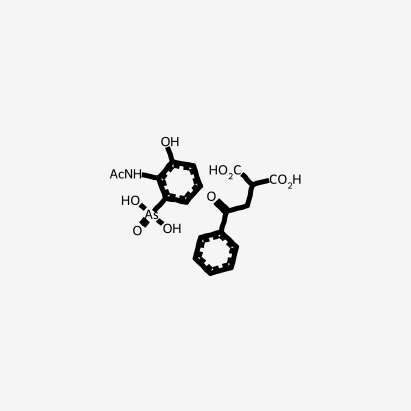 CC(=O)Nc1c(O)cccc1[As](=O)(O)O.O=C(CC(C(=O)O)C(=O)O)c1ccccc1